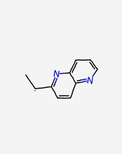 C[CH]c1ccc2ncccc2n1